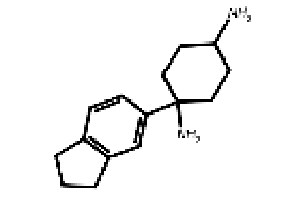 NC1CCC(N)(c2ccc3c(c2)CCC3)CC1